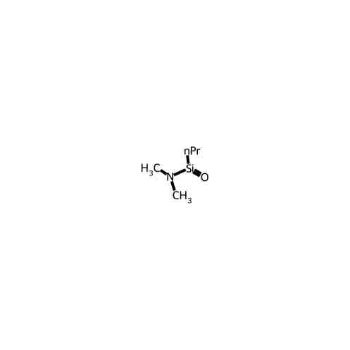 CCC[Si](=O)N(C)C